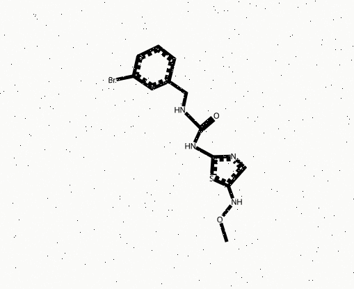 CONc1cnc(NC(=O)NCc2cccc(Br)c2)s1